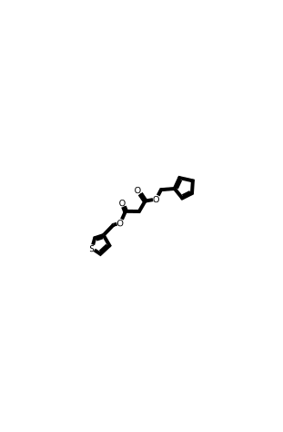 O=C(CC(=O)OCc1ccsc1)OCC1=CCC=C1